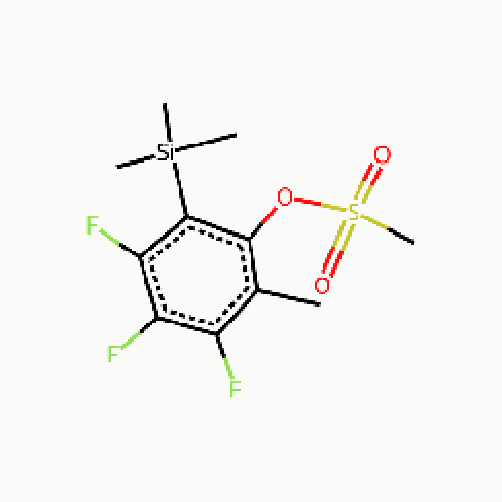 Cc1c(F)c(F)c(F)c([Si](C)(C)C)c1OS(C)(=O)=O